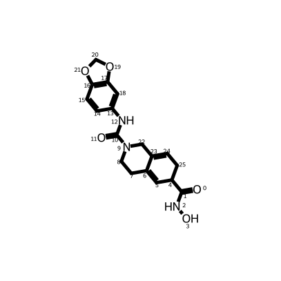 O=C(NO)C1C=C2CCN(C(=O)Nc3ccc4c(c3)OCO4)CC2=CC1